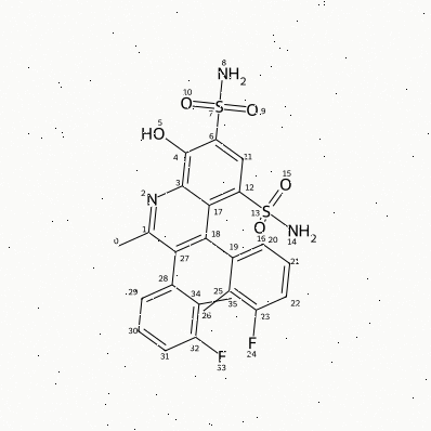 Cc1nc2c(O)c(S(N)(=O)=O)cc(S(N)(=O)=O)c2c(-c2cccc(F)c2C)c1-c1cccc(F)c1C